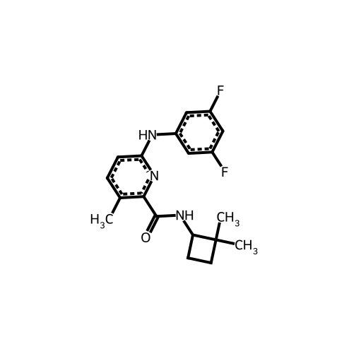 Cc1ccc(Nc2cc(F)cc(F)c2)nc1C(=O)NC1CCC1(C)C